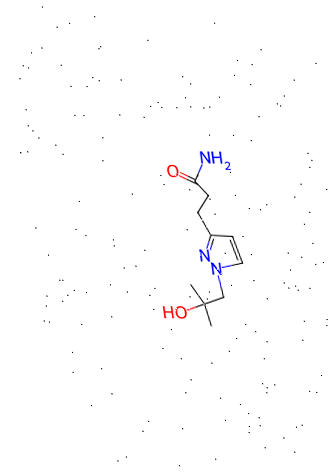 CC(C)(O)Cn1ccc(CCC(N)=O)n1